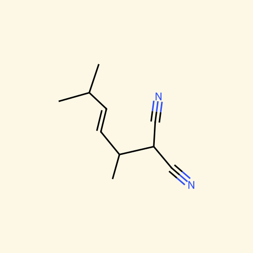 CC(C)C=CC(C)C(C#N)C#N